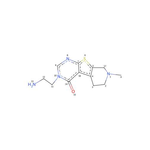 CN1CCc2c(sc3ncn(CCN)c(=O)c23)C1